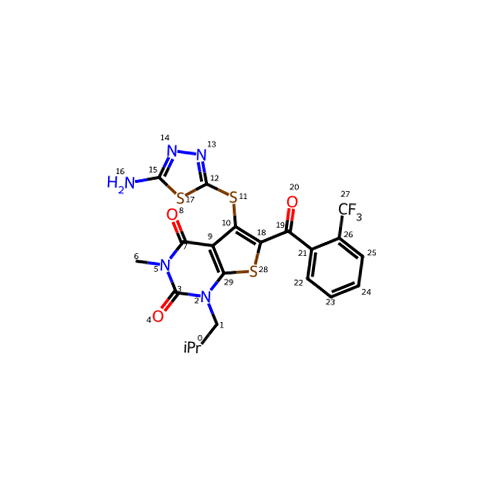 CC(C)Cn1c(=O)n(C)c(=O)c2c(Sc3nnc(N)s3)c(C(=O)c3ccccc3C(F)(F)F)sc21